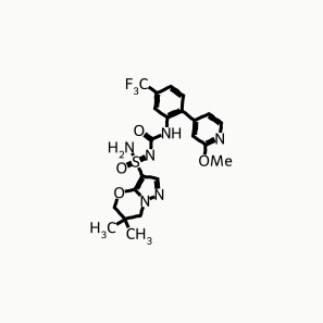 COc1cc(-c2ccc(C(F)(F)F)cc2NC(=O)N=S(N)(=O)c2cnn3c2OCC(C)(C)C3)ccn1